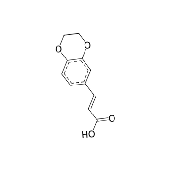 O=C(O)C=Cc1ccc2c(c1)OCCO2